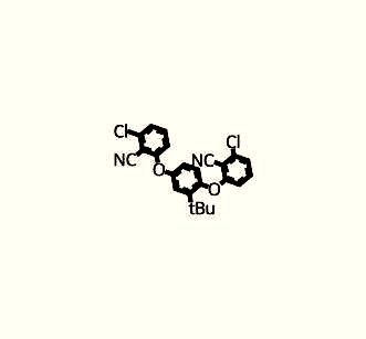 CC(C)(C)c1cc(Oc2cccc(Cl)c2C#N)ccc1Oc1cccc(Cl)c1C#N